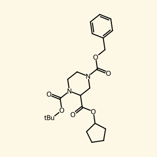 CC(C)(C)OC(=O)N1CCN(C(=O)OCc2ccccc2)CC1C(=O)OC1CCCC1